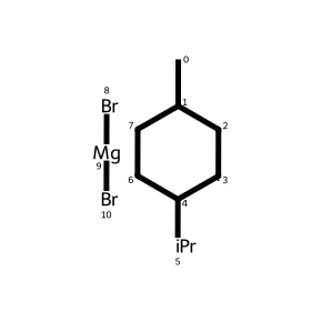 CC1C[CH]C(C(C)C)CC1.[Br][Mg][Br]